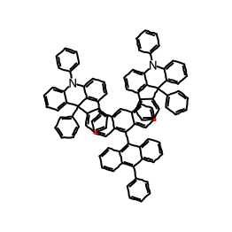 c1ccc(-c2c3ccccc3c(-c3c4cccc(-c5cccc6c5C(c5ccccc5)(c5ccccc5)c5ccccc5N6c5ccccc5)c4cc4c(-c5cccc6c5C(c5ccccc5)(c5ccccc5)c5ccccc5N6c5ccccc5)cccc34)c3ccccc23)cc1